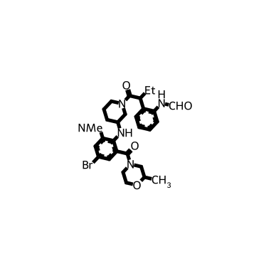 CCC(C(=O)N1CCCC(Nc2c(NC)cc(Br)cc2C(=O)N2CCOC(C)C2)C1)c1ccccc1NC=O